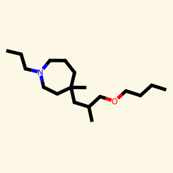 CCCCOCC(C)CC1(C)CCCN(CCC)CC1